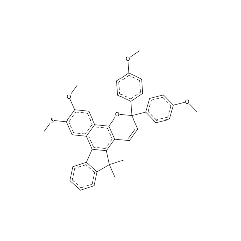 COc1ccc(C2(c3ccc(OC)cc3)C=Cc3c4c(c5cc(SC)c(OC)cc5c3O2)-c2ccccc2C4(C)C)cc1